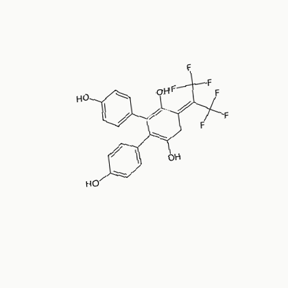 OC1=C(c2ccc(O)cc2)C(c2ccc(O)cc2)=C(O)C(=C(C(F)(F)F)C(F)(F)F)C1